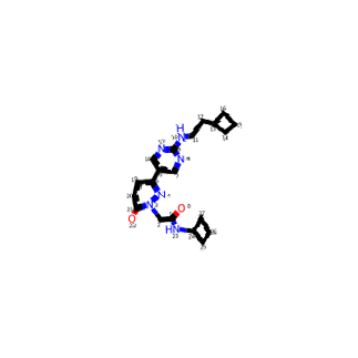 O=C(Cn1nc(-c2cnc(NCCC3CCC3)nc2)ccc1=O)NC1CCC1